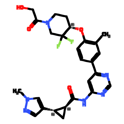 Cc1cc(-c2cc(NC(=O)[C@H]3C[C@@H]3c3cnn(C)c3)ncn2)ccc1O[C@H]1CCN(C(=O)CO)CC1(F)F